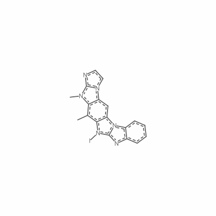 Cc1c2c(cc3c1n(I)c1nc4ccccc4n31)n1ccnc1n2C